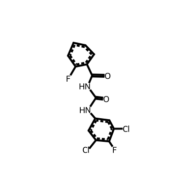 O=C(NC(=O)c1ccccc1F)Nc1cc(Cl)c(F)c(Cl)c1